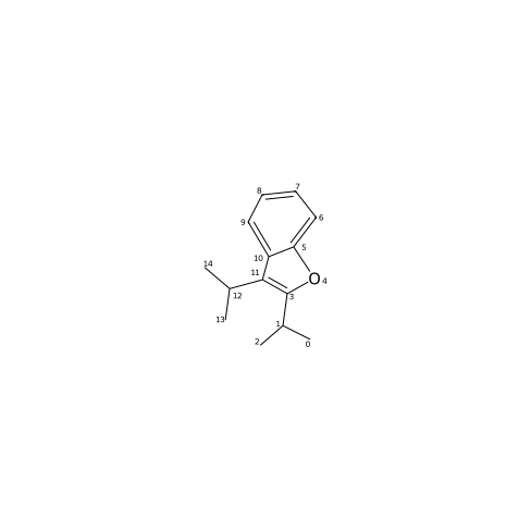 CC(C)c1oc2ccccc2c1C(C)C